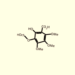 CCCCCCCCOc1c(O)c(C(=O)O)c(OC)c(OC)c1OC